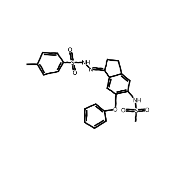 Cc1ccc(S(=O)(=O)NN=C2CCc3cc(NS(C)(=O)=O)c(Oc4ccccc4)cc32)cc1